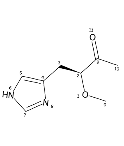 CO[C@@H](Cc1c[nH]cn1)C(C)=O